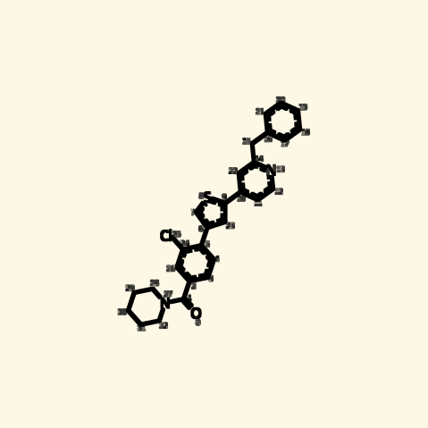 O=C(c1ccc(-c2csc(-c3ccnc(Cc4ccccc4)c3)c2)c(Cl)c1)N1CCCCC1